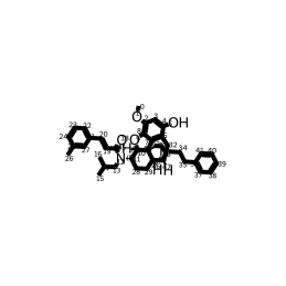 COc1cc(O)c2c3c1O[C@H]1[C@@H](N(CC(C)C)C(=O)C=Cc4cccc(C)c4)CC[C@H]4[C@@H](C2)N(CCc2ccccc2)CC[C@@]341